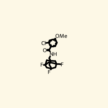 COc1ccc(C(=O)NCC23CC4(F)CC(F)(CC(F)(C4)C2)C3)c(Cl)c1